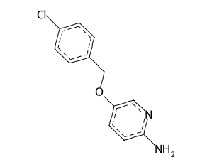 Nc1ccc(OCc2ccc(Cl)cc2)cn1